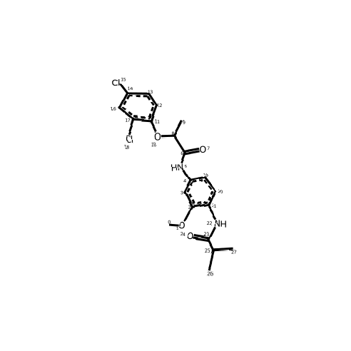 COc1cc(NC(=O)C(C)Oc2ccc(Cl)cc2Cl)ccc1NC(=O)C(C)C